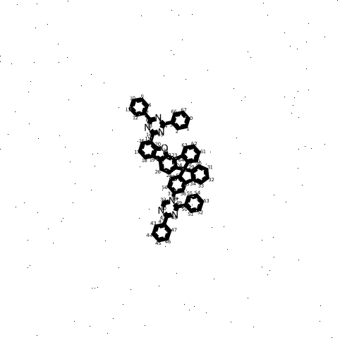 c1ccc(-c2nc(-c3ccccc3)nc(-c3cccc4c3oc3c5c(ccc34)C3(c4ccccc4-c4cc(-[n+]6cnc(-c7ccccc7)nc6-c6ccccc6)ccc43)c3ccccc3-5)n2)cc1